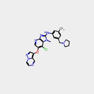 Cn1c(Nc2cc(CN3CCCC3)cc(C(F)(F)F)c2)nc2ncc(Oc3cnn4ccncc34)c(Cl)c21